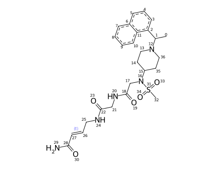 CC(c1cccc2ccccc12)N1CCC(N(CC(=O)NCC(=O)NC/C=C/C(N)=O)S(C)(=O)=O)CC1